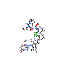 COc1nc(-c2cccc(-c3cccc(NC(=O)c4cn(C)c(=O)n(C)c4=O)c3Cl)c2Cl)cc2c1C(NCC1COCC(=O)N1)C(C)C2